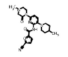 CC1CCN(c2ccc(N3CCN(C)CC3=O)nc2NC(=O)c2ccc(C#N)o2)CC1